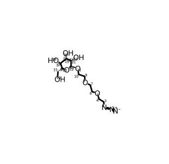 [N-]=[N+]=NCCOCCOCCO[C@H]1O[C@H](CO)[C@@H](O)[C@H](O)[C@@H]1O